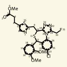 COC(=O)CCc1cnc(CC2SC(c3cccc(OC)c3OC)c3cc(Cl)ccc3-n3c(CF)nnc32)s1